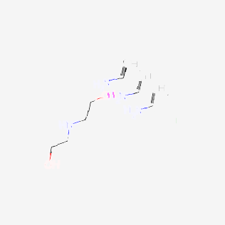 C=CN.C=CN.C=CN.Cl.Cl.OCCNCCO